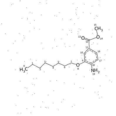 CCCCCCCCOc1cc(C(=O)OC)ccc1N